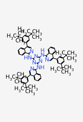 CC(C)(C)c1cc(-c2cnc(Nc3nc(Nc4ncc(-c5cc(C(C)(C)C)cc(C(C)(C)C)c5)c5ccccc45)nc(Nc4ncc(-c5cc(C(C)(C)C)cc(C(C)(C)C)c5)c5ccccc45)n3)c3ccccc23)cc(C(C)(C)C)c1